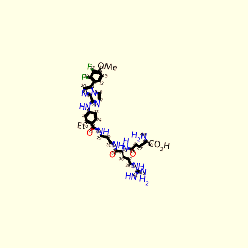 CCc1cc(Nc2nccn3c(-c4ccc(OC)c(F)c4F)cnc23)ccc1C(=O)NCCCNC(=O)[C@H](CCCNC(=N)N)NC(=O)CC[C@H](N)C(=O)O